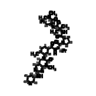 Cc1ccc(C(=O)N[C@H](C(=O)N2CCC[C@@H]2C(=O)NC(C)(C)C(=O)N[C@@H](CC(C)C)C(=O)N(C)C)C(C)C)cc1N1Cc2cnc(Nc3cccnc3)nc2N(C)C1=O